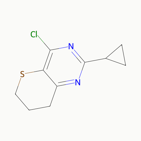 Clc1nc(C2CC2)nc2c1SCCC2